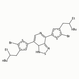 CCCCC(CC)Cc1cc(C2=CN=C(c3cc(CC(CC)CCCC)c(Br)s3)C3=NSNC23)sc1Br